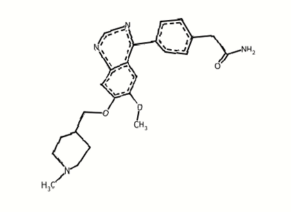 COc1cc2c(-c3ccc(CC(N)=O)cc3)ncnc2cc1OCC1CCN(C)CC1